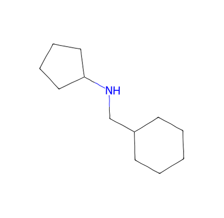 C1CCC(CNC2CCCC2)CC1